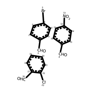 O=Cc1ccc(Br)cc1.O=Cc1ccc([N+](=O)[O-])cc1.O=Cc1ccccc1Cl